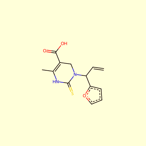 C=CC(c1ccco1)N1CC(C(=O)O)=C(C)NC1=S